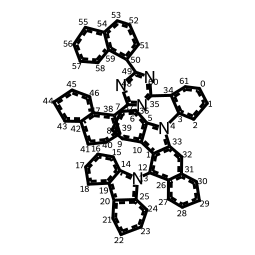 c1ccc(-n2c3ccccc3c3c(-n4c5ccccc5c5ccccc54)c4ccccc4cc32)c(-c2nc(-c3cccc4ccccc34)nc(-c3cccc4ccccc34)n2)c1